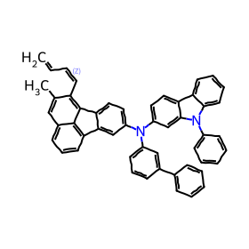 C=C/C=C\c1c(C)cc2cccc3c2c1-c1ccc(N(c2cccc(-c4ccccc4)c2)c2ccc4c5ccccc5n(-c5ccccc5)c4c2)cc1-3